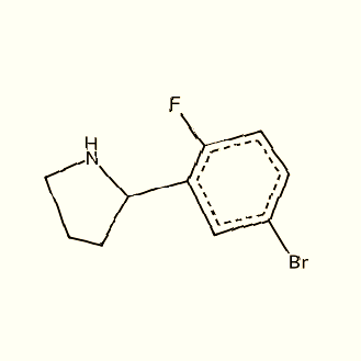 Fc1ccc(Br)cc1C1CCCN1